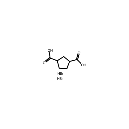 Br.Br.O=C(O)C1CCC(C(=O)O)C1